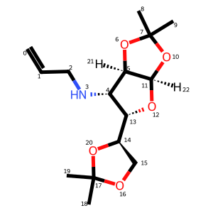 C=CCN[C@@H]1[C@H]2OC(C)(C)O[C@H]2O[C@@H]1[C@H]1COC(C)(C)O1